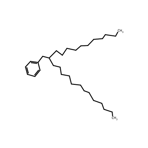 CCCCCCCCCCCCCC(CCCCCCCCCCC)Cc1[c]cccc1